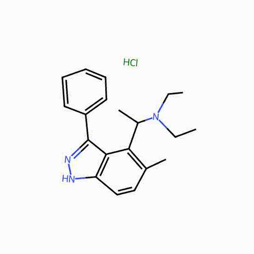 CCN(CC)C(C)c1c(C)ccc2[nH]nc(-c3ccccc3)c12.Cl